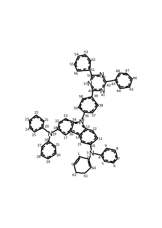 C1=CC(N(c2ccccc2)c2ccc3c(c2)c2cc(N(c4ccccc4)c4ccccc4)ccc2n3-c2ccc(-c3nc(-c4ccccc4)nc(-c4ccccc4)n3)cc2)=CCC1